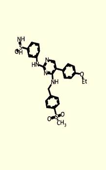 CCOc1ccc(-c2cnc(Nc3cccc([SH](=N)=O)c3)nc2NCc2ccc(S(C)(=O)=O)cc2)cc1